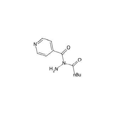 CCCCC(=O)N(N)C(=O)c1ccncc1